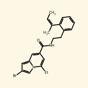 C/C=C(/C)c1ccccc1CCNC(=O)c1cc(CC)n2cc(Br)cc2c1